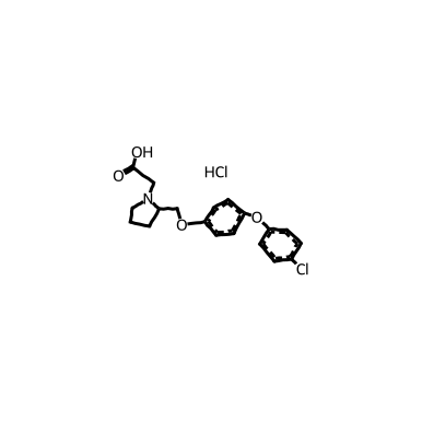 Cl.O=C(O)CN1CCCC1COc1ccc(Oc2ccc(Cl)cc2)cc1